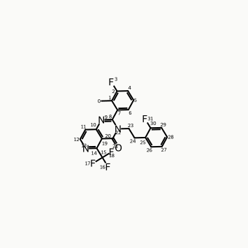 Cc1c(F)cccc1-c1nc2ccnc(C(F)(F)F)c2c(=O)n1CCc1ccccc1F